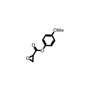 COc1ccc(OC(=O)C2CO2)cc1